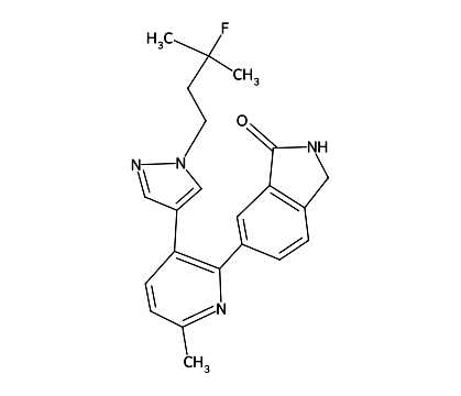 Cc1ccc(-c2cnn(CCC(C)(C)F)c2)c(-c2ccc3c(c2)C(=O)NC3)n1